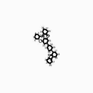 S=P12c3ccccc3Oc3cc(-c4ccc(-c5cccc6c5sc5ccccc56)cc4)cc(c31)Oc1ccccc12